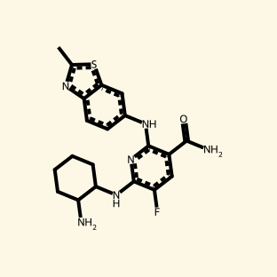 Cc1nc2ccc(Nc3nc(NC4CCCCC4N)c(F)cc3C(N)=O)cc2s1